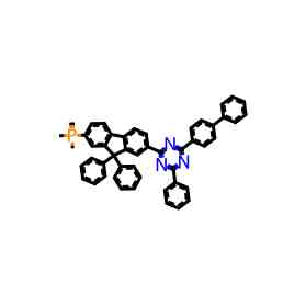 C=P(C)(C)c1ccc2c(c1)C(c1ccccc1)(c1ccccc1)c1cc(-c3nc(-c4ccccc4)nc(-c4ccc(-c5ccccc5)cc4)n3)ccc1-2